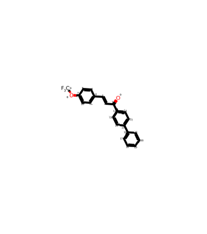 O=C(C=Cc1ccc(OC(F)(F)F)cc1)c1ccc(-c2ccccc2)cc1